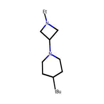 CCN1CC(N2CCC(C(C)(C)C)CC2)C1